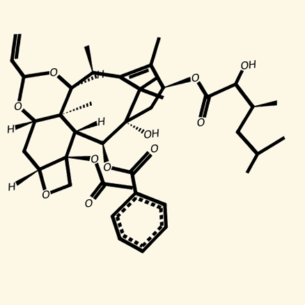 C=CC1O[C@H]2C[C@H]3OC[C@@]3(OC(C)=O)[C@H]3[C@H](OC(=O)c4ccccc4)[C@]4(O)C[C@H](OC(=O)C(O)[C@@H](C)CC(C)C)C(C)=C([C@H](C)[C@H](O1)[C@]23C)C4(C)C